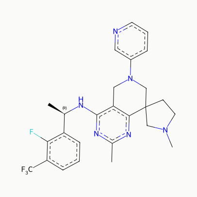 Cc1nc(N[C@H](C)c2cccc(C(F)(F)F)c2F)c2c(n1)C1(CCN(C)C1)CN(c1cccnc1)C2